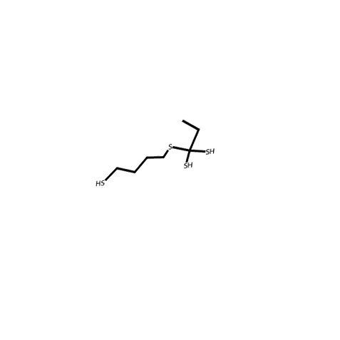 CCC(S)(S)SCCCCS